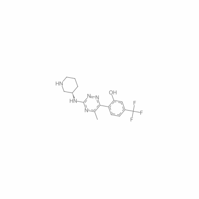 Cc1nc(N[C@@H]2CCCNC2)nnc1-c1ccc(C(F)(F)F)cc1O